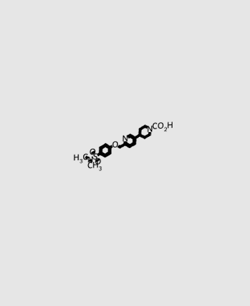 CN(C)S(=O)(=O)c1ccc(OCc2ccc(C3CCN(C(=O)O)CC3)cn2)cc1